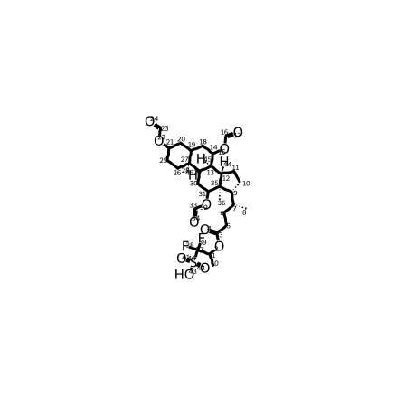 CC(OC(=O)CC[C@@H](C)[C@H]1CC[C@H]2[C@@H]3C(OC=O)CC4CC(OC=O)CC[C@]4(C)[C@H]3CC(OC=O)[C@]12C)C(F)(F)S(=O)(=O)O